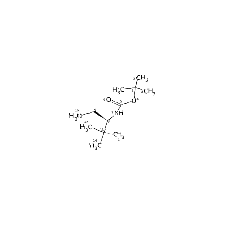 CC(C)(C)OC(=O)N[C@H](CN)C(C)(C)C